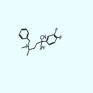 CC(CCC(C#N)(c1ccc(F)c(F)c1)C(C)C)N(C)Cc1ccccc1